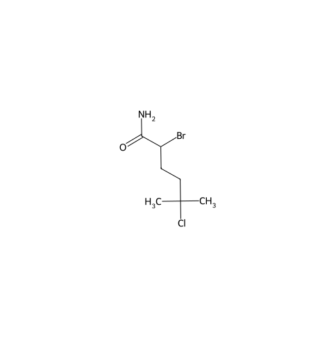 CC(C)(Cl)CCC(Br)C(N)=O